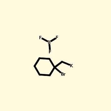 FB(F)F.[K][CH2]C1(Br)CCCCC1